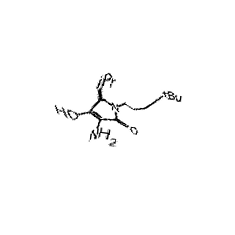 CC(C)C1C(O)=C(N)C(=O)N1CCC(C)(C)C